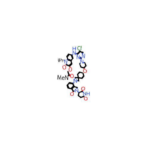 CNC(=O)COc1cc2cc(Nc3nc(N4CCC(OC5CCC6(CC5)CN(c5cccc7c5CN(C5CCC(=O)NC5=O)C7=O)C6)CC4)ncc3Cl)ccc2n(C(C)C)c1=O